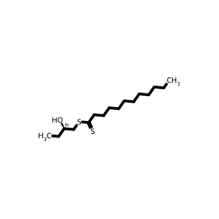 CCCCCCCCCCCC(=S)SC[C@H](O)CC